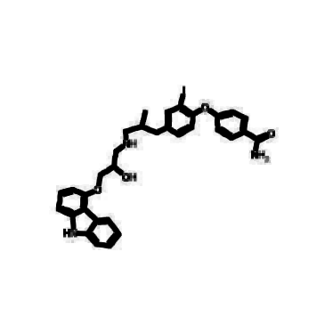 CC(CNCC(O)COc1cccc2[nH]c3ccccc3c12)Cc1ccc(Oc2ccc(C(N)=O)cc2)c(I)c1